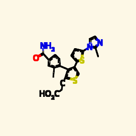 Cc1cc(C(N)=O)ccc1-c1c(-c2ccc(-n3ccnc3C)s2)csc1CCC(=O)O